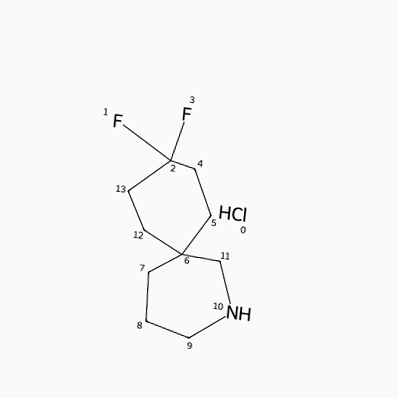 Cl.FC1(F)CCC2(CCCNC2)CC1